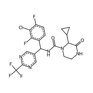 O=C1NCCN(C(=O)NC(c2cnc(C(F)(F)F)nc2)c2ccc(F)c(Cl)c2F)C1C1CC1